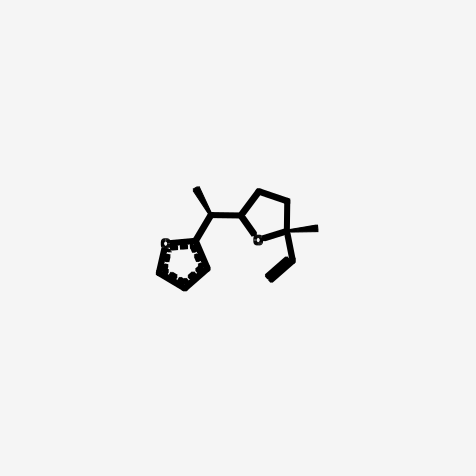 C=C[C@@]1(C)CCC([C@H](C)c2ccco2)O1